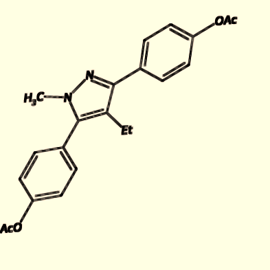 CCc1c(-c2ccc(OC(C)=O)cc2)nn(C)c1-c1ccc(OC(C)=O)cc1